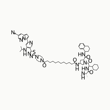 CN[C@@H](C)C(=O)NC(C(=O)N1C[C@@H](NC(=O)CCCCCCCCCCC(=O)N2CCN(c3nnc(-c4cnc(-c5ccc6cc(C#N)cnn56)cc4NC(C)C)s3)CC2)C[C@H]1C(=O)N[C@@H]1CCCc2ccccc21)C1CCCCC1